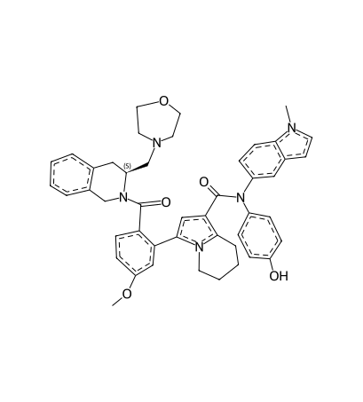 COc1ccc(C(=O)N2Cc3ccccc3C[C@H]2CN2CCOCC2)c(-c2cc(C(=O)N(c3ccc(O)cc3)c3ccc4c(ccn4C)c3)c3n2CCCC3)c1